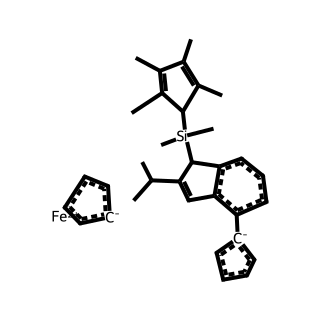 CC1=C(C)C([Si](C)(C)C2C(C(C)C)=Cc3c(-[c-]4cccc4)cccc32)C(C)=C1C.[Fe+2].c1cc[cH-]c1